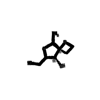 BC1OC(CO)[C@@H](O)[C@@]12CCO2